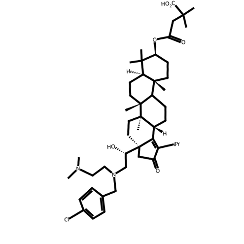 CC(C)C1=C2[C@H]3CCC4[C@@]5(C)CC[C@H](OC(=O)CC(C)(C)C(=O)O)C(C)(C)[C@@H]5CC[C@@]4(C)[C@]3(C)CC[C@@]2([C@@H](O)CN(CCN(C)C)Cc2ccc(Cl)cc2)CC1=O